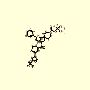 CC(C)(C)OC(=O)N1CCC(CNC(=O)c2cccc(-c3noc(C(F)(F)F)n3)c2)(c2nc(-c3ccccc3)cs2)CC1